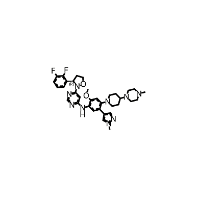 COc1cc(N2CCC(N3CCN(C)CC3)CC2)c(-c2cnn(C)c2)cc1Nc1cc(N2OCC[C@@H]2c2cccc(F)c2F)ncn1